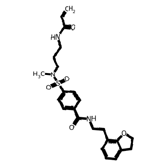 C=CC(=O)NCCCN(C)S(=O)(=O)c1ccc(C(=O)NCCc2cccc3c2OCC3)cc1